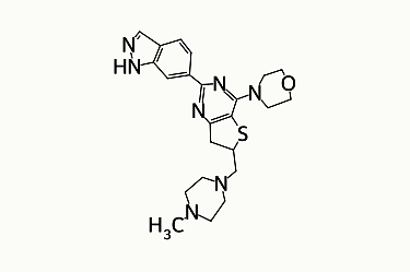 CN1CCN(CC2Cc3nc(-c4ccc5cn[nH]c5c4)nc(N4CCOCC4)c3S2)CC1